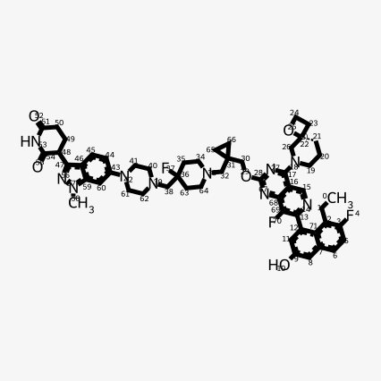 CCc1c(F)ccc2cc(O)cc(-c3ncc4c(N5CCC[C@]6(CCO6)C5)nc(OCC5(CN6CCC(F)(CN7CCN(c8ccc9c(C%10CCC(=O)NC%10=O)nn(C)c9c8)CC7)CC6)CC5)nc4c3F)c12